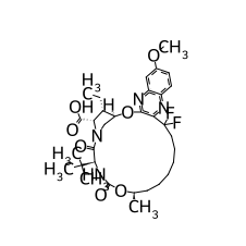 CC[C@@H]1[C@@H]2CN(C(=O)[C@H](C(C)(C)C)NC(=O)O[C@H](C)CCCCCCC(F)(F)c3nc4ccc(OC)cc4nc3O2)[C@@H]1C(=O)O